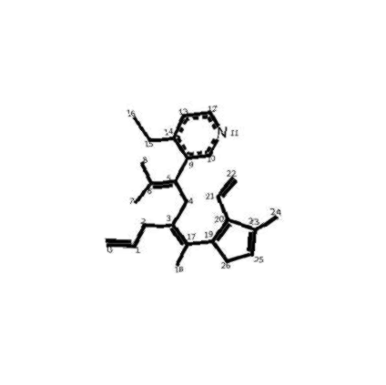 C=CC/C(CC(=C(C)C)c1cnccc1CC)=C(\C)C1=C(C=C)C(C)=CC1